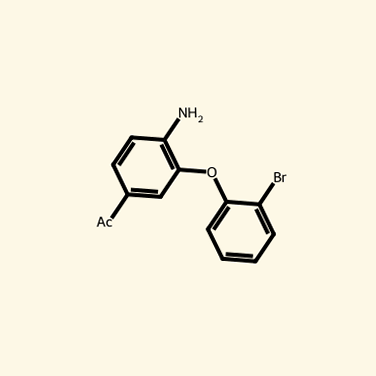 CC(=O)c1ccc(N)c(Oc2ccccc2Br)c1